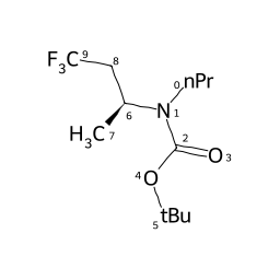 CCCN(C(=O)OC(C)(C)C)[C@@H](C)CC(F)(F)F